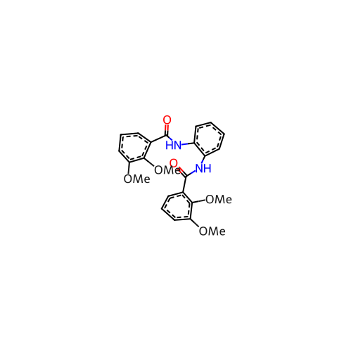 COc1cccc(C(=O)Nc2ccccc2NC(=O)c2cccc(OC)c2OC)c1OC